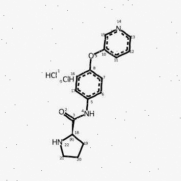 Cl.Cl.O=C(Nc1ccc(Oc2cccnc2)cc1)[C@H]1CCCN1